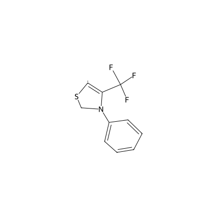 FC(F)(F)C1=[C]SCN1c1ccccc1